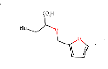 CC(C)(C)CC(OCc1ccco1)C(=O)O